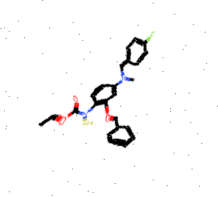 CCOC(=O)N(S)c1ccc(N(C)Cc2ccc(F)cc2)cc1OCc1ccccc1